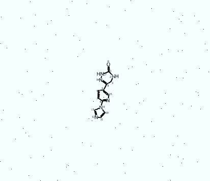 O=C1NCC(c2ccc(-n3ccnc3)nc2)=NN1